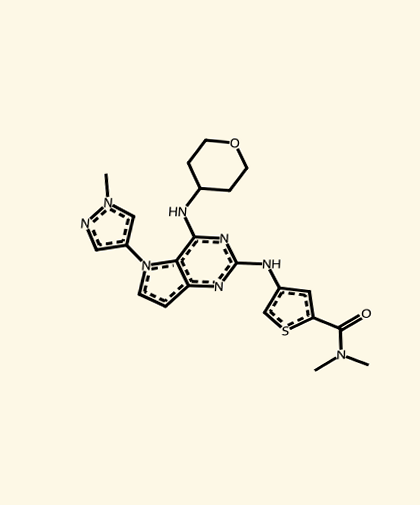 CN(C)C(=O)c1cc(Nc2nc(NC3CCOCC3)c3c(ccn3-c3cnn(C)c3)n2)cs1